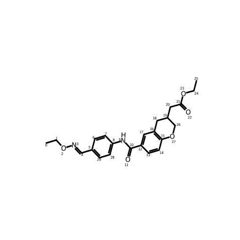 CCON=Cc1ccc(NC(=O)c2ccc3c(c2)CC(CC(=O)OCC)CO3)cc1